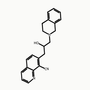 N#Cc1c(CC(O)CN2CCc3ccccc3C2)ccc2cccnc12